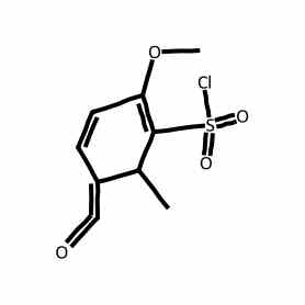 COC1=C(S(=O)(=O)Cl)C(C)C(=C=O)C=C1